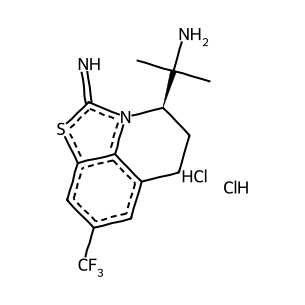 CC(C)(N)[C@H]1CCc2cc(C(F)(F)F)cc3sc(=N)n1c23.Cl.Cl